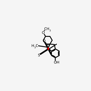 COC1CCC2(CC1)Cc1ccc(O)cc1C21NC(=S)N(C)C1=O